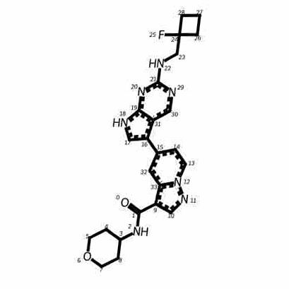 O=C(NC1CCOCC1)c1cnn2ccc(-c3c[nH]c4nc(NCC5(F)CCC5)ncc34)cc12